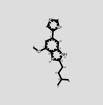 COc1cc(-c2cnco2)cc2[nH]c(CCC(C)C)nc12